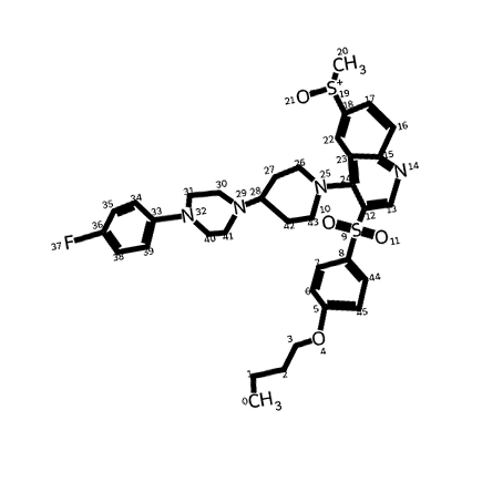 CCCCOc1ccc(S(=O)(=O)c2cnc3ccc([S+](C)[O-])cc3c2N2CCC(N3CCN(c4ccc(F)cc4)CC3)CC2)cc1